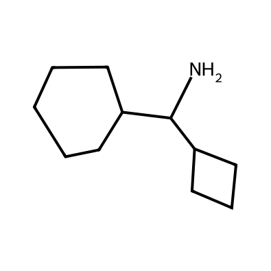 NC(C1CCCCC1)C1CCC1